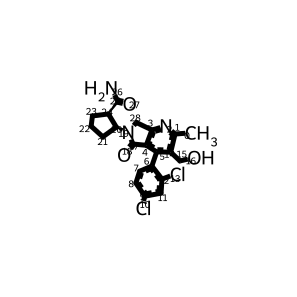 Cc1nc2c(c(-c3ccc(Cl)cc3Cl)c1CO)C(=O)N([C@H]1CCC[C@H]1C(N)=O)C2